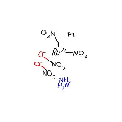 N.N.O=[N+]([O-])[O-].O=[N+]([O-])[O-].O=[N+]([O-])[Ru+2][N+](=O)[O-].[Pt]